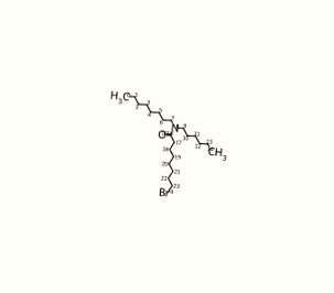 CCCCCCCCN(CCCCCC)C(=O)CCCCCCCBr